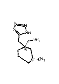 C[C@@H]1CCC[C@@](CN)(Cc2nnn[nH]2)C1